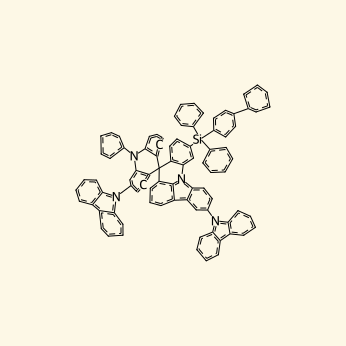 c1ccc(-c2ccc([Si](c3ccccc3)(c3ccccc3)c3ccc4c(c3)-n3c5ccc(-n6c7ccccc7c7ccccc76)cc5c5cccc(c53)C43c4ccccc4N(c4ccccc4)c4cc(-n5c6ccccc6c6ccccc65)ccc43)cc2)cc1